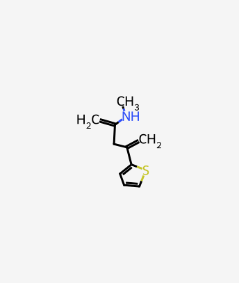 C=C(CC(=C)c1cccs1)NC